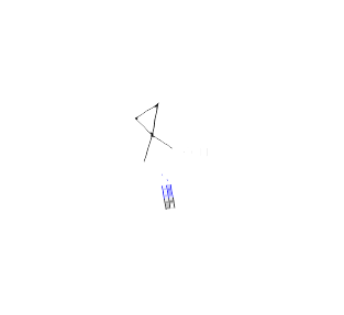 C#N.CC1(C(=O)O)CC1